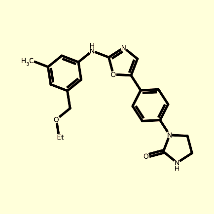 CCOCc1cc(C)cc(Nc2ncc(-c3ccc(N4CCNC4=O)cc3)o2)c1